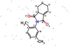 Cc1ccc(C)c(N2C(=O)C3=CCCCC3C2=O)c1